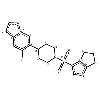 Cc1cc2ncnn2cc1C1CCN(S(=O)(=O)c2cnc3n2CCC3)CC1